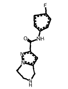 O=C(Nc1ccc(F)cc1)c1cc2n(n1)CCNC2